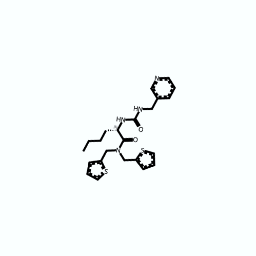 CCCC[C@H](NC(=O)NCc1cccnc1)C(=O)N(Cc1cccs1)Cc1cccs1